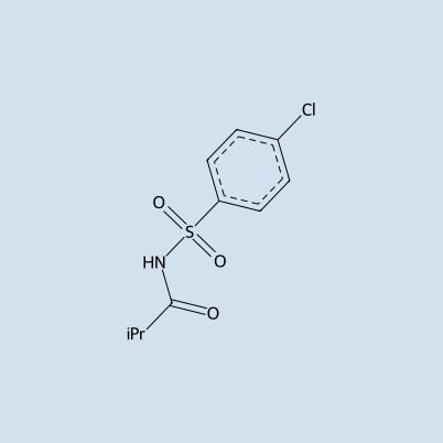 CC(C)C(=O)NS(=O)(=O)c1ccc(Cl)cc1